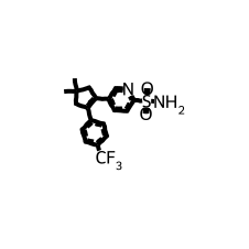 CC1(C)CC(c2ccc(C(F)(F)F)cc2)=C(c2ccc(S(N)(=O)=O)nc2)C1